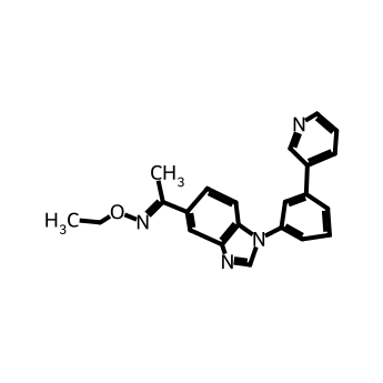 CCON=C(C)c1ccc2c(c1)ncn2-c1cccc(-c2cccnc2)c1